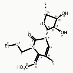 CCOCn1c(=O)n([C@@H]2O[C@H](C)[C@@H](O)[C@H]2O)cc(F)/c1=N/C(=O)O